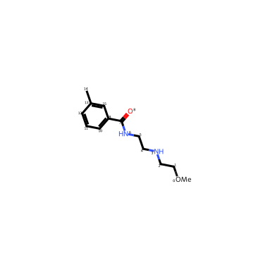 COCCNCCNC(=O)c1cccc(C)c1